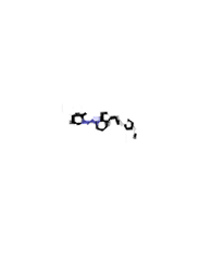 C=C1/C(=C\C=C2/CCC[C@]3(C)[C@@H]([C@H](C)CN4CC[C@H](CC(F)F)C4)CC[C@@H]23)C[C@@H](O)[C@H](C)[C@@H]1O